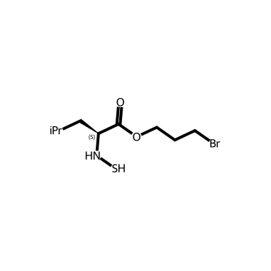 CC(C)C[C@H](NS)C(=O)OCCCBr